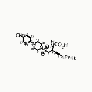 CCCCCC#CC(CS(=O)(=O)N1CCN(c2ccc(Cl)cn2)CC1)NC(=O)O